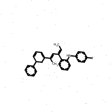 C/C=C(\C=C(/C)C1=CC=CC(c2ccccc2)C1)c1ccccc1Nc1ccc(F)cc1